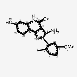 COc1ccc(C)c(-n2nc3c(c2N)c(=O)[nH]c2cc(O)ccc23)c1